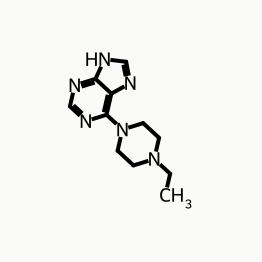 CCN1CCN(c2ncnc3[nH]cnc23)CC1